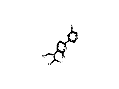 CC(C)C(O)N(CC#N)c1ccc(-c2cncc(F)c2)nc1C(F)(F)F